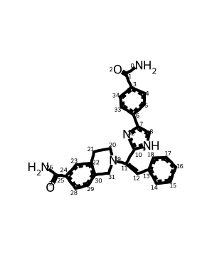 NC(=O)c1ccc(-c2c[nH]c(C(=Cc3ccccc3)N3CCc4cc(C(N)=O)ccc4C3)n2)cc1